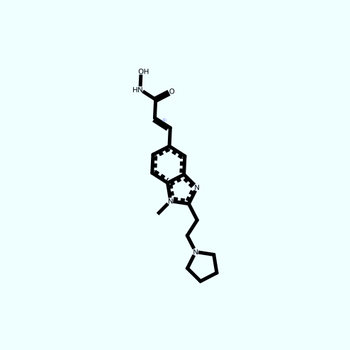 Cn1c(CCN2CCCC2)nc2cc(/C=C/C(=O)NO)ccc21